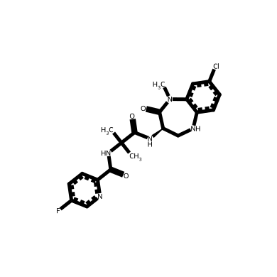 CN1C(=O)[C@H](NC(=O)C(C)(C)NC(=O)c2ccc(F)cn2)CNc2ccc(Cl)cc21